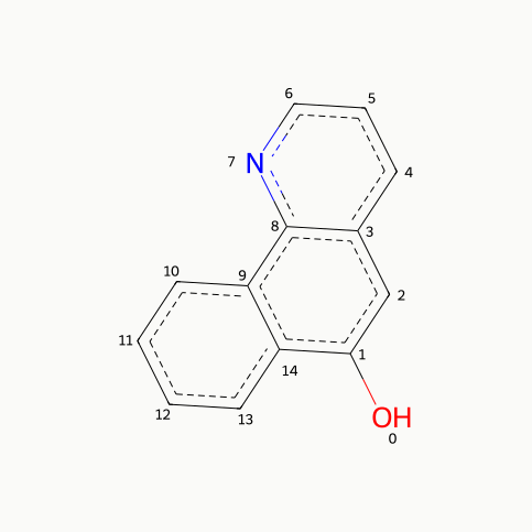 Oc1cc2cccnc2c2ccccc12